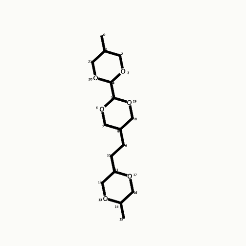 CC1COC(C2OCC(CCC3COC(C)CO3)CO2)OC1